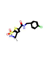 C[C@@H]1NS(=O)(=O)c2sc(C(=O)NCc3ccc(Cl)cc3)cc21